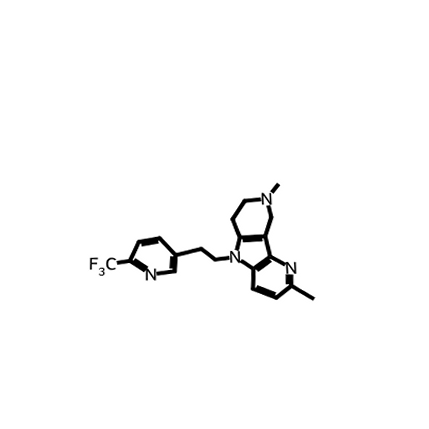 Cc1ccc2c(n1)c1c(n2CCc2ccc(C(F)(F)F)nc2)CCN(C)C1